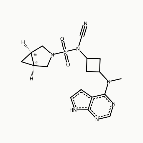 CN(c1ncnc2[nH]ccc12)C1CC(N(C#N)S(=O)(=O)N2C[C@H]3C[C@H]3C2)C1